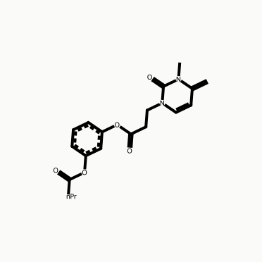 C=C1C=CN(CCC(=O)Oc2cccc(OC(=O)CCC)c2)C(=O)N1C